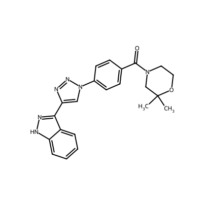 CC1(C)CN(C(=O)c2ccc(-n3cc(-c4n[nH]c5ccccc45)nn3)cc2)CCO1